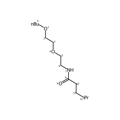 CCCCOCCOCCNC(=O)CCC(C)C